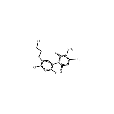 Cn1c(C(F)(F)F)cc(=O)n(-c2cc(OCCCl)c(Cl)cc2F)c1=O